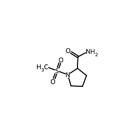 CS(=O)(=O)N1CCCC1C(N)=O